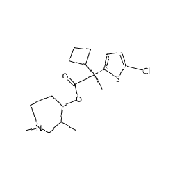 CC1CN(C)CCC1OC(=O)C(C)(c1ccc(Cl)s1)C1CCC1